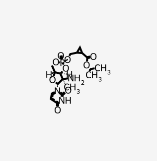 CC(C)OC(=O)C1CC1CO[P@]1(=O)OC[C@H]2O[C@@H](n3ccc(=O)[nH]c3=O)[C@](C)(N)[C@@H]2O1